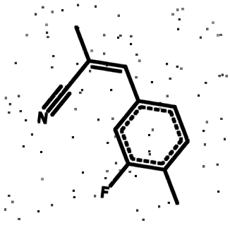 C/C(C#N)=C/c1ccc(C)c(F)c1